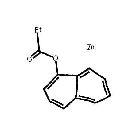 CCC(=O)Oc1cccc2ccccc12.[Zn]